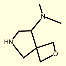 CN(C)C1CNCC12COC2